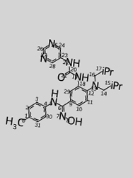 Cc1ccc(NC(=NO)c2ccc(N(CC(C)C)CC(C)C)c(NC(=O)Nc3cncnc3)c2)cc1